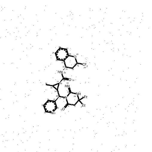 CCC1(CC)CC(=O)N([C@@H](c2cccnc2)C2C(C)[C@H]2C(=O)N[C@H]2CC(C(F)(F)F)Oc3ccccc32)C(=N)N1